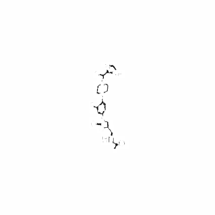 CC(=O)NCC1CN(c2ccc(N3CCN(C(=S)c4ncc[nH]4)CC3)c(F)c2)C(=O)O1